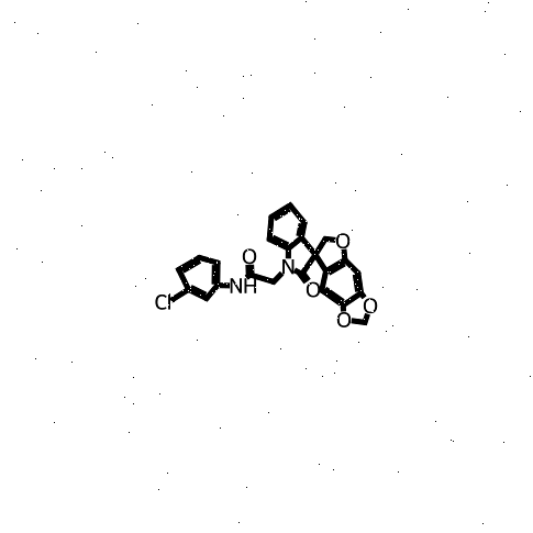 O=C(CN1C(=O)C2(COc3cc4c(cc32)OCO4)c2ccccc21)Nc1cccc(Cl)c1